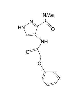 CNC(=O)c1n[nH]cc1NC(=O)COc1ccccc1